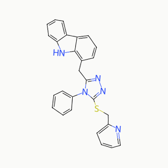 c1ccc(-n2c(Cc3cccc4c3[nH]c3ccccc34)nnc2SCc2ccccn2)cc1